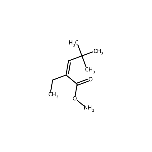 CCC(=CC(C)(C)C)C(=O)ON